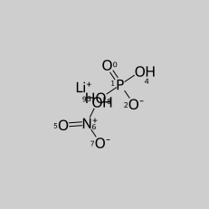 O=P([O-])(O)O.O=[N+]([O-])O.[Li+]